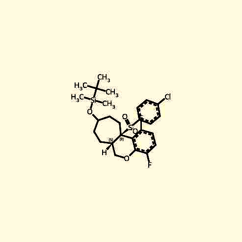 CC(C)(C)[Si](C)(C)OC1CC[C@H]2COc3c(F)ccc(F)c3[C@@]2(S(=O)(=O)c2ccc(Cl)cc2)CC1